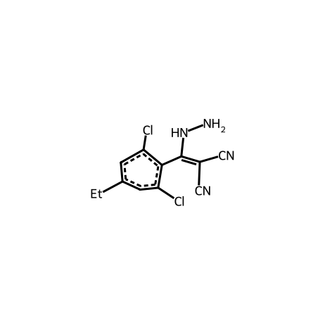 CCc1cc(Cl)c(C(NN)=C(C#N)C#N)c(Cl)c1